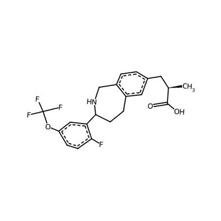 C[C@H](Cc1ccc2c(c1)CCC(c1cc(OC(F)(F)F)ccc1F)NC2)C(=O)O